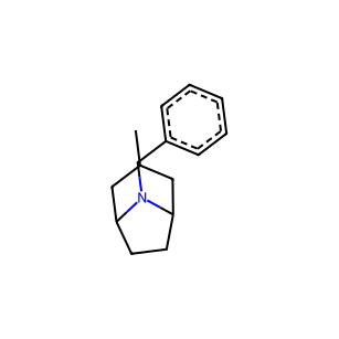 CC1CC2CCC(C1)N2Cc1ccccc1